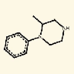 CC1[CH]NCCN1c1ccccc1